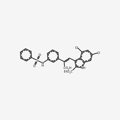 CCOC(=O)c1[nH]c2cc(Cl)cc(Cl)c2c1/C=C(\C(=O)O)c1cccc(NS(=O)(=O)c2ccccc2)c1